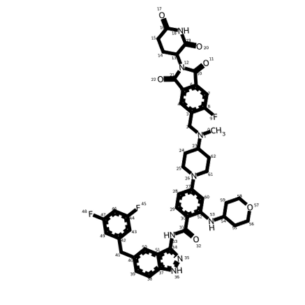 CN(Cc1cc2c(cc1F)C(=O)N(C1CCC(=O)NC1=O)C2=O)C1CCN(c2ccc(C(=O)Nc3n[nH]c4ccc(Cc5cc(F)cc(F)c5)cc34)c(NC3CCOCC3)c2)CC1